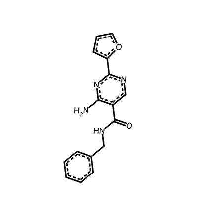 Nc1nc(-c2ccco2)ncc1C(=O)NCc1ccccc1